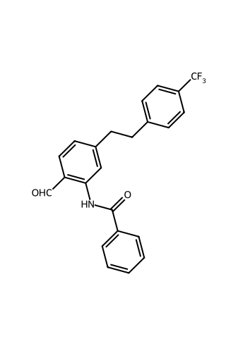 O=Cc1ccc(CCc2ccc(C(F)(F)F)cc2)cc1NC(=O)c1ccccc1